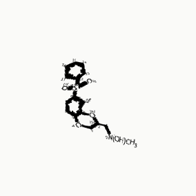 CN(O)C[C@H]1COc2ccc(S(=O)(=O)c3ccccc3)cc2O1